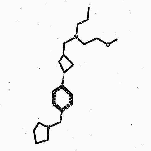 CCCN(CCOC)C[C@H]1C[C@H](c2ccc(CN3CCCC3)cc2)C1